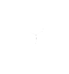 CC[CH](C)[Zn+].[Cl-]